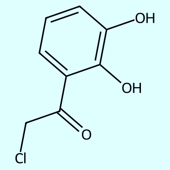 O=C(CCl)c1cccc(O)c1O